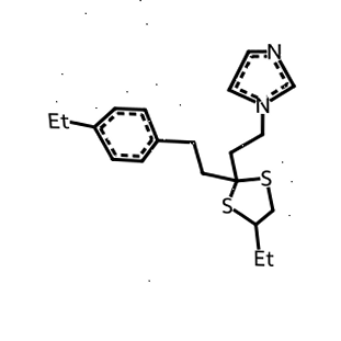 CCc1ccc(CCC2(CCn3ccnc3)SCC(CC)S2)cc1